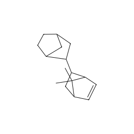 CC1(C)C2C=CC1C(C1CC3CCC1C3)C2